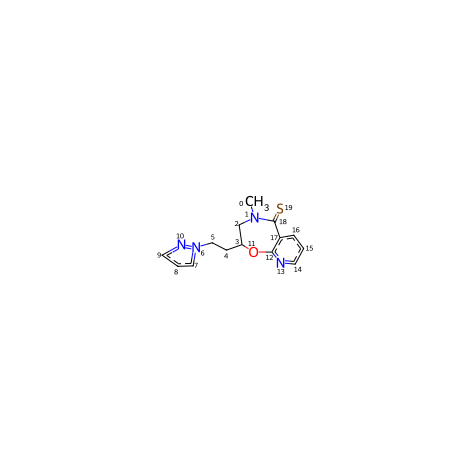 CN1CC(CCn2cccn2)Oc2ncccc2C1=S